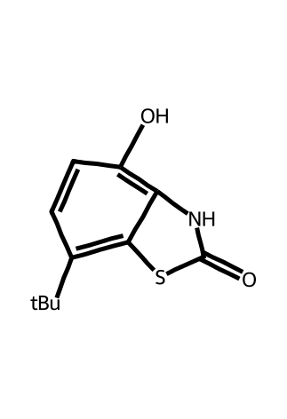 CC(C)(C)c1ccc(O)c2[nH]c(=O)sc12